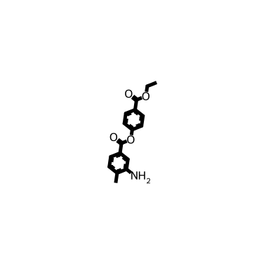 CCOC(=O)c1ccc(OC(=O)c2ccc(C)c(N)c2)cc1